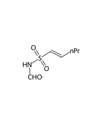 CCC/C=C/S(=O)(=O)N[C]=O